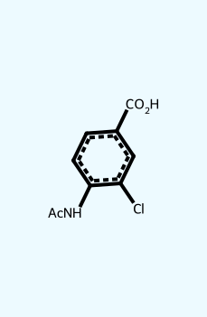 CC(=O)Nc1ccc(C(=O)O)cc1Cl